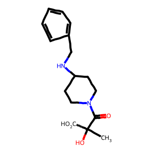 CC(O)(C(=O)O)C(=O)N1CCC(NCc2ccccc2)CC1